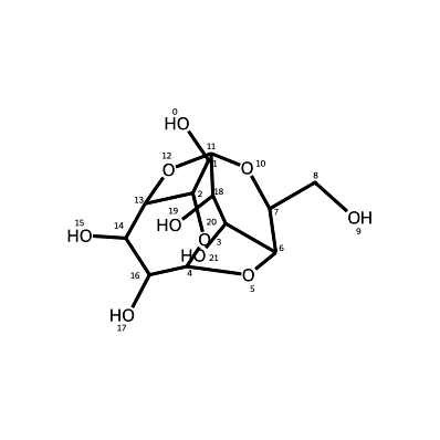 OCC1OC2OC3C(CO)OC(OC1C(O)C2O)C(O)C3O